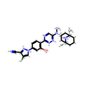 CN(c1cnc(-c2ccc(-n3cc(F)c(C#N)n3)cc2O)nn1)[C@H]1C[C@@H]2CCC[C@](C)(C1)N2